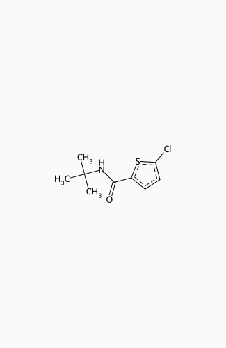 CC(C)(C)NC(=O)c1ccc(Cl)s1